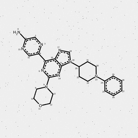 Nc1cnc(-c2nc(N3CCOCC3)nc3c2ncn3C2CCN(c3ccccc3)CC2)cn1